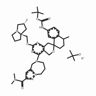 CC(C)(C)[O-].CC1CCC2(Cc3nc(OC[C@@]45CCCN4C[C@H](F)C5)nc(N4CCCn5nc(C(=O)N(C)C)cc5C4)c3CO2)c2cc(NC(=O)OC(C)(C)C)ccc21.[K+]